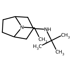 CCN1C2CCC1CC(NC(C)(C)C)C2